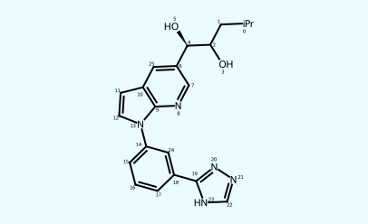 CC(C)CC(O)[C@H](O)c1cnc2c(ccn2-c2cccc(-c3nnc[nH]3)c2)c1